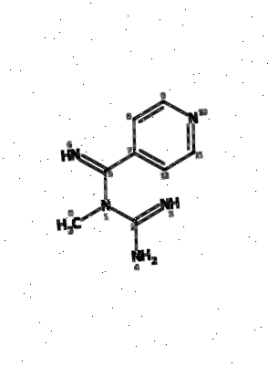 CN(C(=N)N)C(=N)c1ccncc1